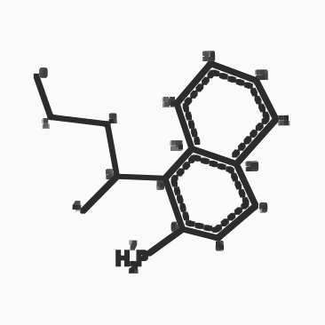 CCCC(C)c1c(P)ccc2ccccc12